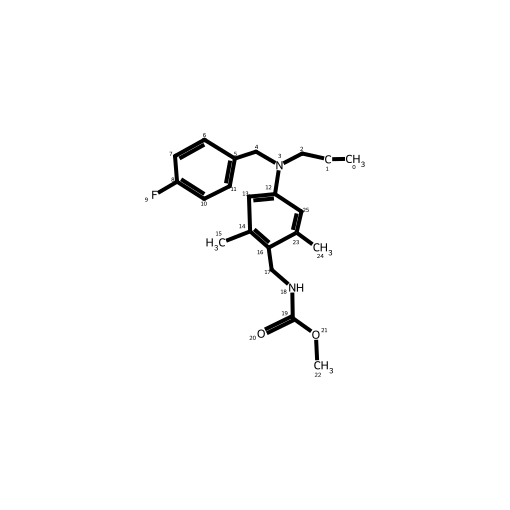 CCCN(Cc1ccc(F)cc1)c1cc(C)c(CNC(=O)OC)c(C)c1